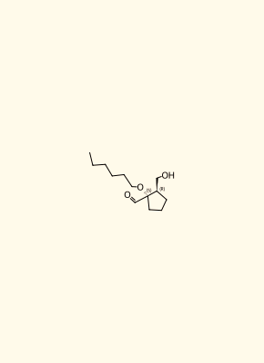 CCCCCCO[C@@]1(C=O)CCC[C@@H]1CO